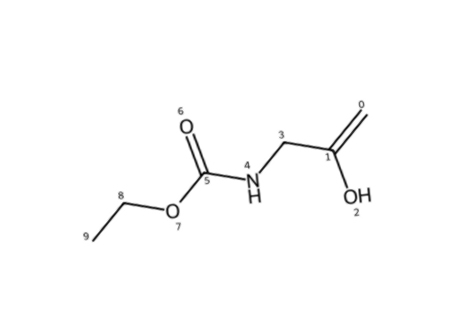 C=C(O)CNC(=O)OCC